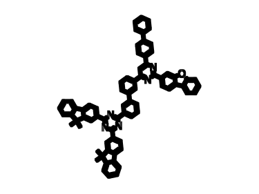 CC1(C)c2ccccc2-c2ccc(-c3nc(-c4cccc(-c5cccc(-c6cc(-c7ccc(-c8ccccc8)cc7)nc(-c7ccc8c(c7)oc7ccccc78)n6)c5)c4)nc(-c4ccc5c(c4)C(C)(C)c4ccccc4-5)n3)cc21